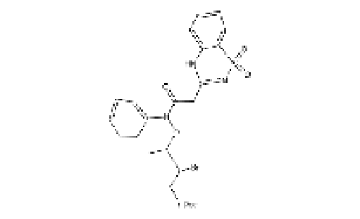 CCCCCCCCCCCC(Br)C(C)ON(C(=O)CC1=NS(=O)(=O)c2ccccc2N1)c1ccccc1